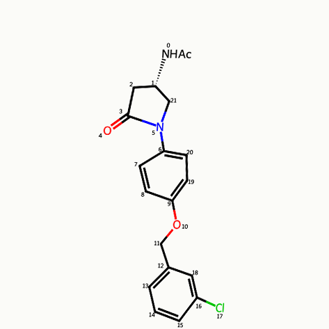 CC(=O)N[C@H]1CC(=O)N(c2ccc(OCc3cccc(Cl)c3)cc2)C1